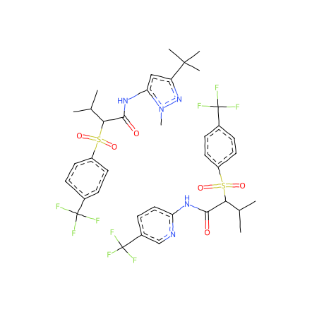 CC(C)C(C(=O)Nc1cc(C(C)(C)C)nn1C)S(=O)(=O)c1ccc(C(F)(F)F)cc1.CC(C)C(C(=O)Nc1ccc(C(F)(F)F)cn1)S(=O)(=O)c1ccc(C(F)(F)F)cc1